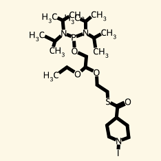 CCOC(COP(N(C(C)C)C(C)C)N(C(C)C)C(C)C)OCCSC(=O)C1CCN(I)CC1